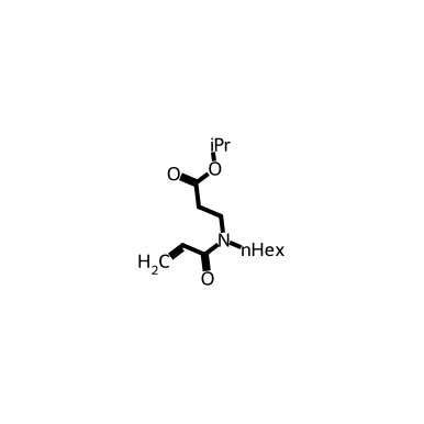 C=CC(=O)N(CCCCCC)CCC(=O)OC(C)C